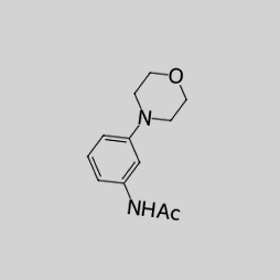 CC(=O)Nc1cccc(N2CCOCC2)c1